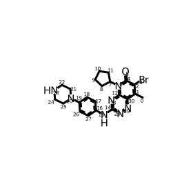 Cc1c(Br)c(=O)n(C2CCCC2)c2nc(Nc3ccc(N4CCNCC4)cc3)nnc12